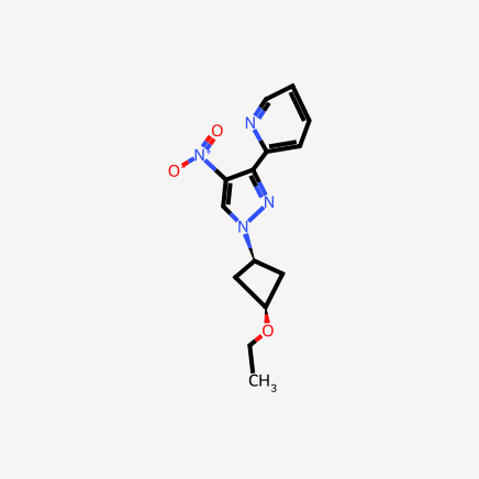 CCO[C@H]1C[C@@H](n2cc([N+](=O)[O-])c(-c3ccccn3)n2)C1